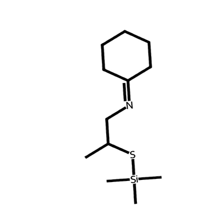 CC(CN=C1CCCCC1)S[Si](C)(C)C